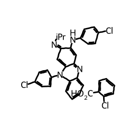 CC(C)N=c1cc2n(-c3ccc(Cl)cc3)c3ccccc3nc-2cc1Nc1ccc(Cl)cc1.O=C(O)c1ccccc1Cl